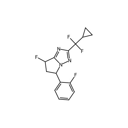 Fc1ccccc1C1CC(F)c2nc(C(F)(F)C3CC3)nn21